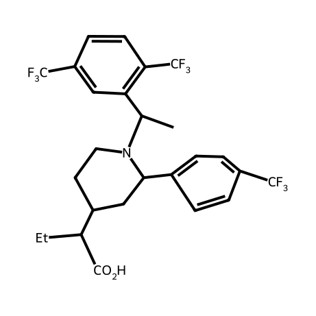 CCC(C(=O)O)C1CCN(C(C)c2cc(C(F)(F)F)ccc2C(F)(F)F)C(c2ccc(C(F)(F)F)cc2)C1